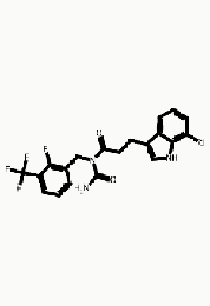 NC(=O)N(Cc1cccc(C(F)(F)F)c1F)C(=O)CCc1c[nH]c2c(Cl)cccc12